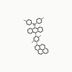 Cc1ccc(N(c2ccc(C)cc2)c2c3ccccc3c(-c3cc(C)c(-c4ccc5ccc6cccc7ccc4c5c67)cc3C)c3ccccc23)cc1